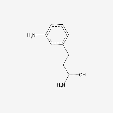 Nc1cccc(CCC(N)O)c1